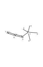 CP(C)(C)(C)N=[N+]=[N-]